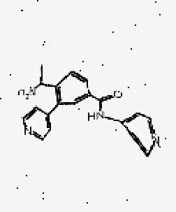 CC(N)c1ccc(C(=O)Nc2ccncc2)cc1-c1ccncc1